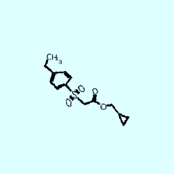 CCc1ccc(S(=O)(=O)CC(=O)OCC2CC2)cc1